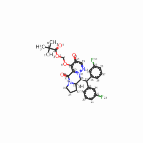 CC(C)(C)C(=O)OCOc1c2n(ncc1=O)[C@@H](C(c1cccc(F)c1)c1cccc(F)c1)[C@H]1CCCN1C2=O